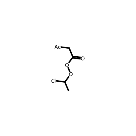 CC(=O)CC(=O)OOC(C)Cl